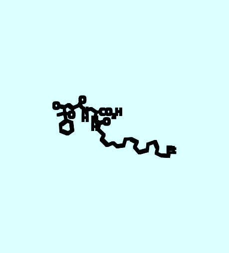 CC/C=C\C/C=C\C/C=C\C/C=C\C/C=C\C/C=C\CCC(=O)NC(CNC(=O)C1=CC(=O)C(C)(c2ccccc2)O1)C(=O)O